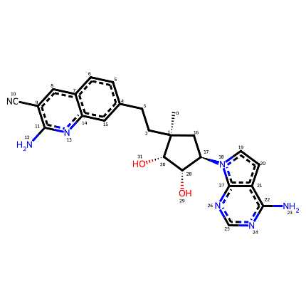 C[C@]1(CCc2ccc3cc(C#N)c(N)nc3c2)C[C@@H](n2ccc3c(N)ncnc32)[C@H](O)[C@@H]1O